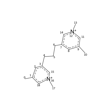 Cc1cc(CCCc2cc(C)c[n+](C)c2)c[n+](C)c1